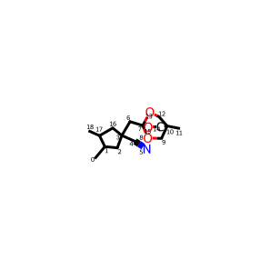 CC1CC(C#N)(CC23OCC(C)(CO2)CO3)CC1C